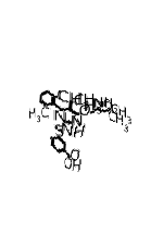 CCc1c(OCC(N)CC(C)(C)C)nc(NSc2cccc(C(=O)O)c2)nc1-c1c(C)cccc1C